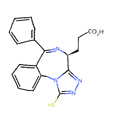 O=C(O)CC[C@@H]1N=C(c2ccccc2)c2ccccc2-n2c(S)nnc21